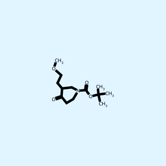 COCCC1CN(C(=O)OC(C)(C)C)CCC1=O